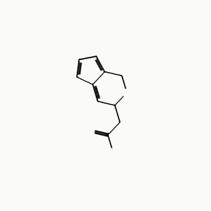 O=C(O)CC1C=C2C=CC=C2CO1